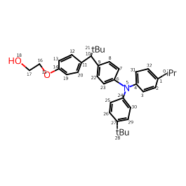 CC(C)c1ccc(N(c2ccc(C(c3ccc(OCCO)cc3)C(C)(C)C)cc2)c2ccc(C(C)(C)C)cc2)cc1